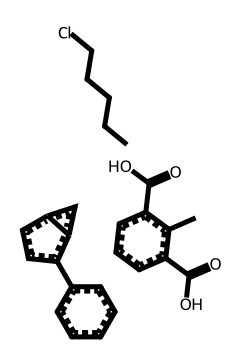 CCCCCCl.Cc1c(C(=O)O)cccc1C(=O)O.c1ccc(-c2ccc3cc2-3)cc1